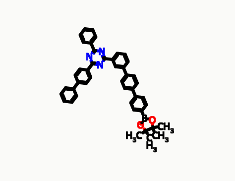 CC1(C)OB(c2ccc(-c3ccc(-c4cccc(-c5nc(-c6ccccc6)nc(-c6ccc(-c7ccccc7)cc6)n5)c4)cc3)cc2)OC1(C)C